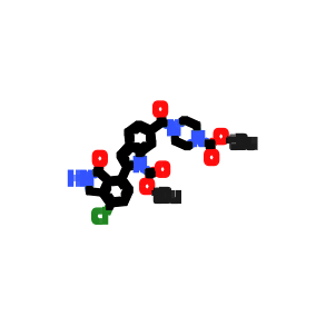 CC(C)(C)OC(=O)N1CCN(C(=O)c2ccc3cc(-c4ccc(Cl)c5c4C(=O)NC5)n(C(=O)OC(C)(C)C)c3c2)CC1